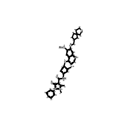 COc1cc2c(Oc3ccc(NC(=O)c4c(C)n(C)n(-c5ccccc5)c4=O)cc3F)ccnc2cc1OCC1CCC2(CCOC2)C1